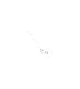 CCCCc1c(OC(=O)OCCOCCOCCOCCOC(=O)C(C)(C)CC)n(-c2ccccc2)n(-c2ccccc2)c1=O